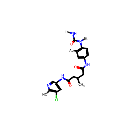 CCNC(=O)N(CC)c1ccc(NC(=O)CC(C)CC(=O)Nc2cnc(C#N)c(Cl)c2)cc1C(C)=O